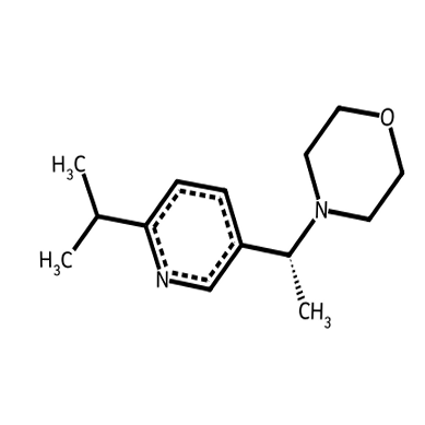 CC(C)c1ccc([C@@H](C)N2CCOCC2)cn1